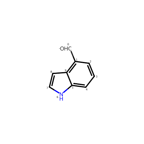 O=[C]c1cccc2[nH]ccc12